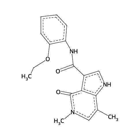 CCOc1ccccc1NC(=O)c1c[nH]c2c(C)cn(C)c(=O)c12